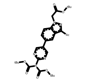 CC(=O)c1nn(CC(=O)OC(C)(C)C)c2ccc(-c3cnc(N(C(=O)OC(C)(C)C)C(=O)OC(C)(C)C)nc3)cc12